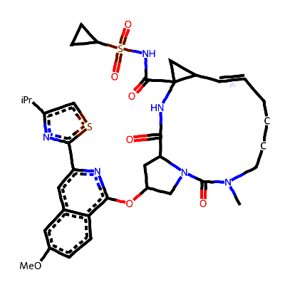 COc1ccc2c(OC3CC4C(=O)NC5(C(=O)NS(=O)(=O)C6CC6)CC5/C=C/CCCCN(C)C(=O)N4C3)nc(-c3nc(C(C)C)cs3)cc2c1